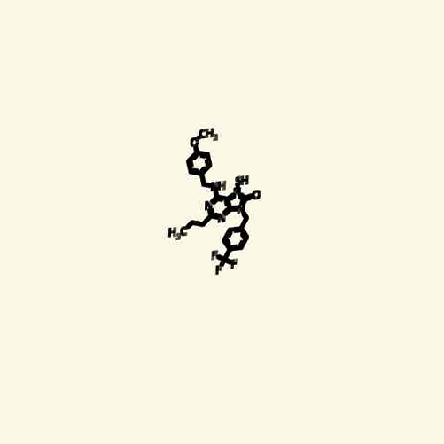 CCCc1nc(NCc2ccc(OC)cc2)c2c(n1)n(Cc1ccc(C(F)(F)F)cc1)c(=O)n2S